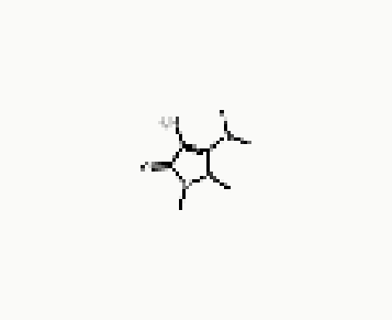 CN(C)c1c(N)c(=O)n(C)n1C